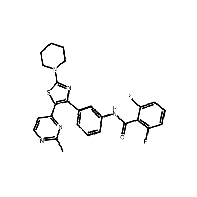 Cc1nccc(-c2sc(N3CCCCC3)nc2-c2cccc(NC(=O)c3c(F)cccc3F)c2)n1